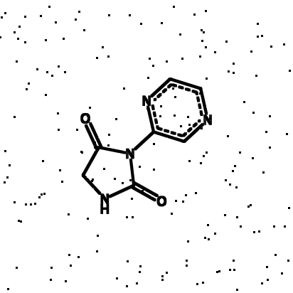 O=C1CNC(=O)N1c1cnccn1